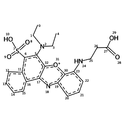 CCN(CC)c1c(S(=O)(=O)O)c2ccccc2c2nc3cccc(NCCC(=O)O)c3[o+]c12